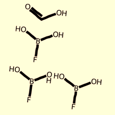 O=CO.OB(O)F.OB(O)F.OB(O)F